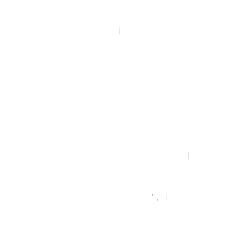 C#Cc1c(F)ccc2c(F)c(N)cc(C(C)C)c12